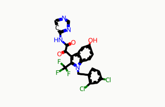 O=C(Nc1ccncn1)C(=O)c1c(C(F)(F)F)n(Cc2ccc(Cl)cc2Cl)c2ccc(O)cc12